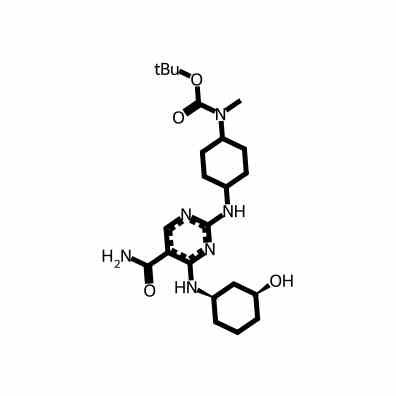 CN(C(=O)OC(C)(C)C)C1CCC(Nc2ncc(C(N)=O)c(N[C@@H]3CCC[C@H](O)C3)n2)CC1